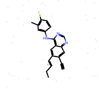 C#Cc1cc2ncnc(Nc3ccc(F)c(C)c3)c2cc1/C=C/CC